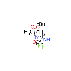 CC(C)(C)OC(=O)C(C)(C)CN1C[C@@H]2NCC(F)(F)[C@@H]2C1=O